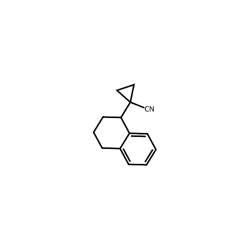 N#CC1(C2CCCc3ccccc32)CC1